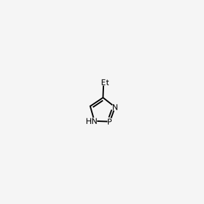 CCc1c[nH]pn1